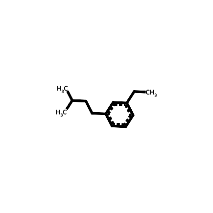 CCc1cccc(CCC(C)C)c1